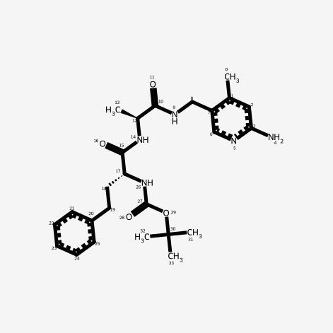 Cc1cc(N)ncc1CNC(=O)[C@H](C)NC(=O)[C@@H](CCc1ccccc1)NC(=O)OC(C)(C)C